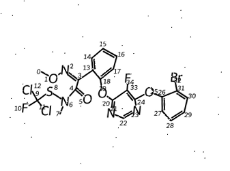 CO/N=C(\C(=O)N(C)SC(F)(Cl)Cl)c1ccccc1Oc1ncnc(Oc2ccccc2Br)c1F